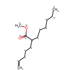 C=CCCCC(CCCCCC)C(=O)OC